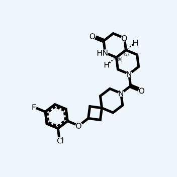 O=C1CO[C@H]2CCN(C(=O)N3CCC4(CC3)CC(Oc3ccc(F)cc3Cl)C4)C[C@H]2N1